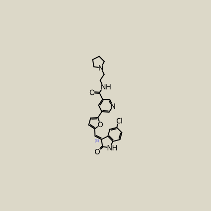 O=C1Nc2ccc(Cl)cc2/C1=C\c1ccc(-c2cncc(C(=O)NCCN3CCCC3)c2)o1